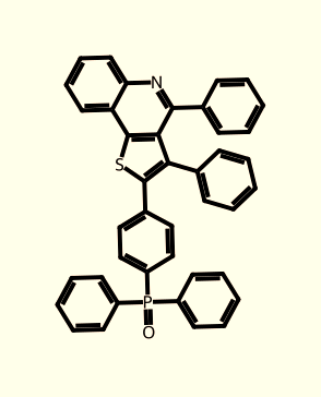 O=P(c1ccccc1)(c1ccccc1)c1ccc(-c2sc3c(c(-c4ccccc4)nc4ccccc43)c2-c2ccccc2)cc1